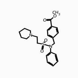 COC(=O)c1ccc(CN(c2ccccc2)S(=O)(=O)CCN2CCCCC2)cc1